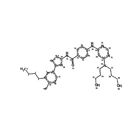 CCCCc1cc(-c2nsc(NC(=O)c3ccc(Nc4cc(N(CCCO)CCCO)ncn4)cc3)n2)ccc1F